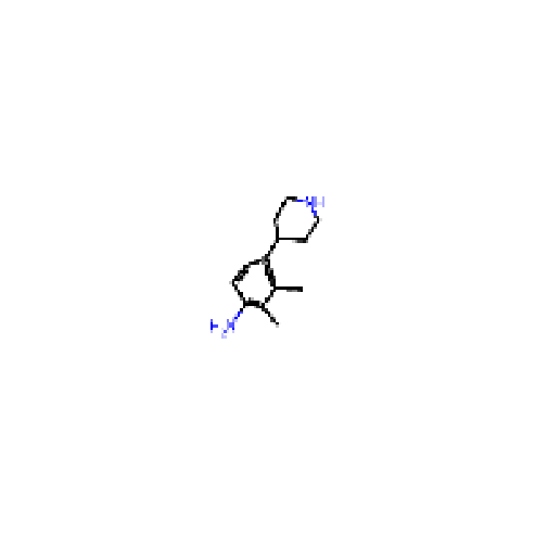 Cc1c(N)ccc(C2CCNCC2)c1C